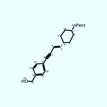 CCCCC[C@H]1CC[C@H](C=CC#Cc2ccc(CO)cc2)CC1